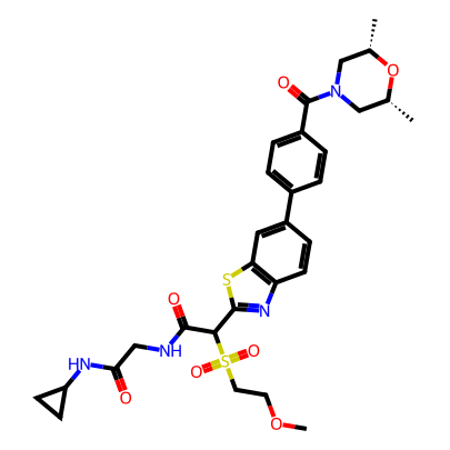 COCCS(=O)(=O)C(C(=O)NCC(=O)NC1CC1)c1nc2ccc(-c3ccc(C(=O)N4C[C@@H](C)O[C@@H](C)C4)cc3)cc2s1